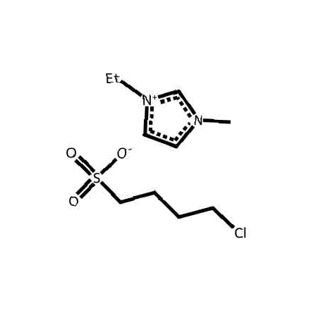 CC[n+]1ccn(C)c1.O=S(=O)([O-])CCCCCl